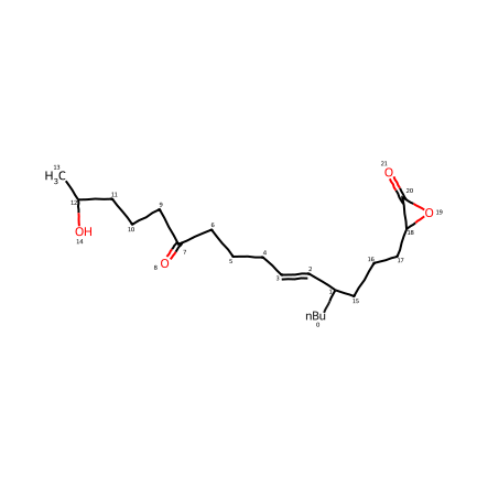 CCCCC(C=CCCCC(=O)CCCC(C)O)CCCC1OC1=O